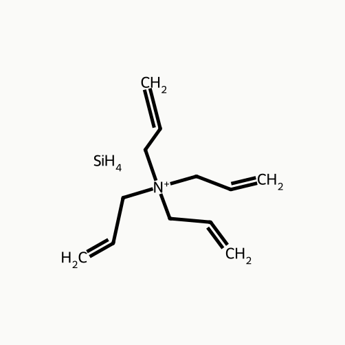 C=CC[N+](CC=C)(CC=C)CC=C.[SiH4]